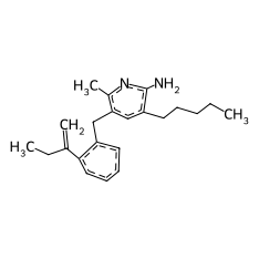 C=C(CC)c1ccccc1Cc1cc(CCCCC)c(N)nc1C